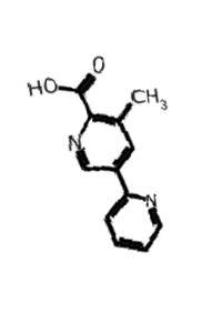 Cc1cc(-c2ccccn2)cnc1C(=O)O